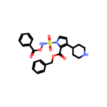 O=C(ONS(=O)(=O)n1ccc(C2CCNCC2)c1C(=O)OCc1ccccc1)c1ccccc1